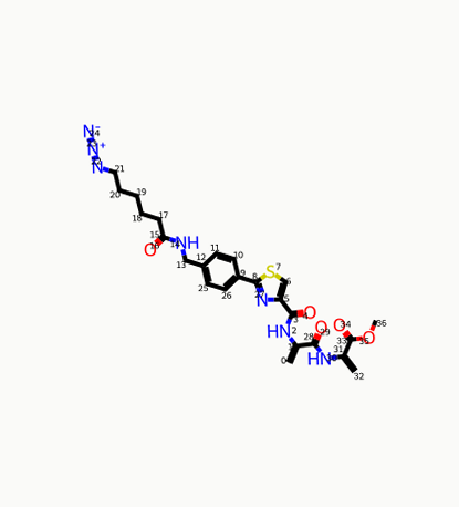 C=C(NC(=O)c1csc(-c2ccc(CNC(=O)CCCCCN=[N+]=[N-])cc2)n1)C(=O)NC(=C)C(=O)OC